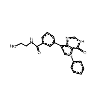 O=C(NCCO)c1cccc(-c2cn(-c3ccccc3)c3c(=O)[nH]cnc23)c1